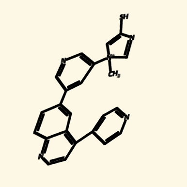 C[N+]1(c2cncc(-c3ccc4nccc(-c5ccncc5)c4c3)c2)C=NC(S)=C1